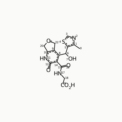 Cc1ncsc1C(O)c1c2c([nH]c(=O)c1C(=O)NCC(=O)O)COC2